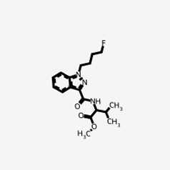 COC(=O)C(NC(=O)c1nn(CCCCF)c2ccccc12)C(C)C